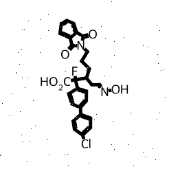 O=C1c2ccccc2C(=O)N1CCCC(CC=NO)C(F)(C(=O)O)c1ccc(-c2ccc(Cl)cc2)cc1